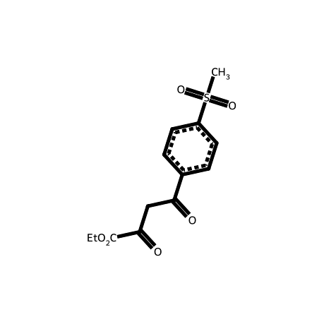 CCOC(=O)C(=O)CC(=O)c1ccc(S(C)(=O)=O)cc1